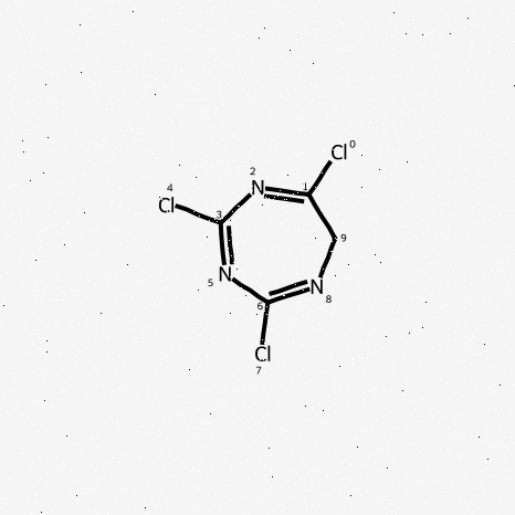 ClC1=NC(Cl)=NC(Cl)=NC1